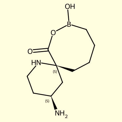 N[C@H]1CCN[C@@]2(CCCCB(O)OC2=O)C1